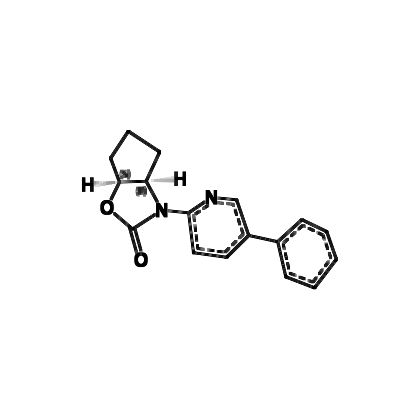 O=C1O[C@H]2CCC[C@H]2N1c1ccc(-c2ccccc2)cn1